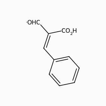 O=[C]C(=Cc1ccccc1)C(=O)O